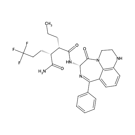 CCC[C@H](C(=O)N[C@H]1N=C(c2ccccc2)c2cccc3c2N(CCN3)C1=O)[C@@H](CCC(F)(F)F)C(N)=O